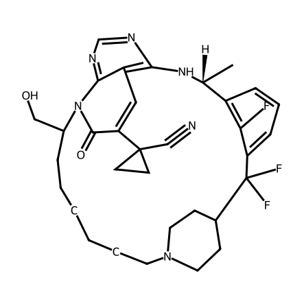 C[C@H]1Nc2ncnc3c2cc(C2(C#N)CC2)c(=O)n3C(CO)CCCCCCN2CCC(CC2)C(F)(F)c2cccc1c2F